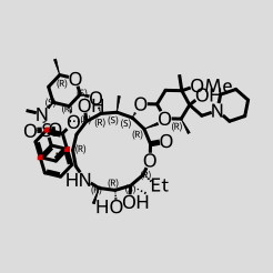 CC[C@H]1OC(=O)[C@H](C)[C@@H](OC2CC(C)(OC)C(O)(CN3CCCCC3)[C@@H](C)O2)[C@H](C)[C@@H](O[C@@H]2O[C@H](C)C[C@H](N(C)S(=O)(=O)c3ccccc3)[C@H]2Oc2ccccc2)[C@](C)(O)C[C@@H](C)CN[C@H](C)[C@@H](O)[C@]1(C)O